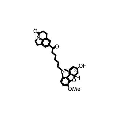 COc1ccc2c3c1O[C@H]1C[C@@H](O)C=C[C@@]31CCN(CCCCCC(=O)c1cc3c4c(c1)CCN4C(=O)CC3)C2